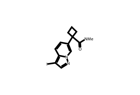 CNC(=O)C1(c2ccc3c(I)cnn3c2)CCC1